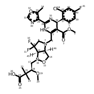 COC(=O)C1=C(CN2CC(F)(F)[C@H]3[C@@H]2CON3C[C@@H](OC)C(C)(C)C(=O)O)NC(c2ncoc2C)=N[C@H]1c1ccc(F)cc1Cl